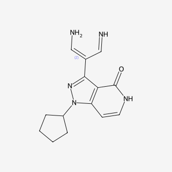 N=C/C(=C\N)c1nn(C2CCCC2)c2cc[nH]c(=O)c12